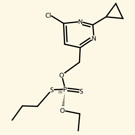 CCCS[P@@](=S)(OCC)OCc1cc(Cl)nc(C2CC2)n1